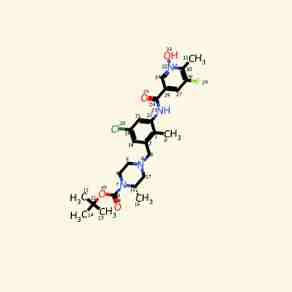 Cc1c(CN2CCN(C(=O)OC(C)(C)C)[C@@H](C)C2)cc(Cl)cc1NC(=O)c1cc(F)c(C)[n+](O)c1